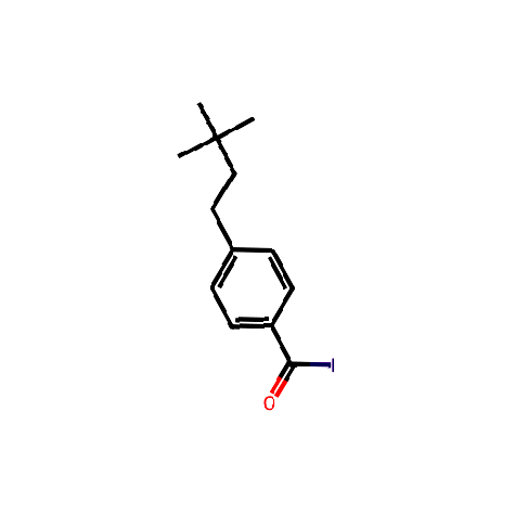 CC(C)(C)CCc1ccc(C(=O)I)cc1